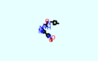 COC(=O)N1CC=C(c2cc3c(N4CC(C(=O)NCc5ccc(C)cc5)C4)ncnn3c2)CC1